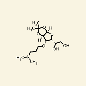 CN(C)CCCO[C@@H]1[C@H]2OC(C)(C)O[C@H]2O[C@@H]1C(O)CO